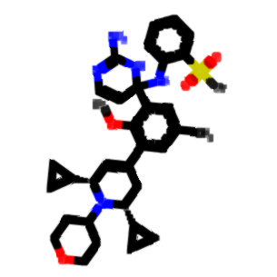 Cc1cc(C2=C[C@@H](C3CC3)N(C3CCOCC3)[C@@H](C3CC3)C2)c(OC(C)C)c(C2(Nc3ccccc3S(=O)(=O)C(C)C)C=CN=C(N)N2)c1